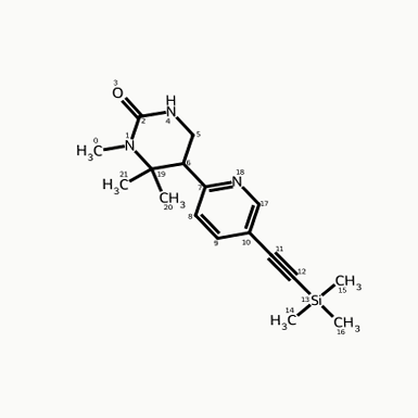 CN1C(=O)NCC(c2ccc(C#C[Si](C)(C)C)cn2)C1(C)C